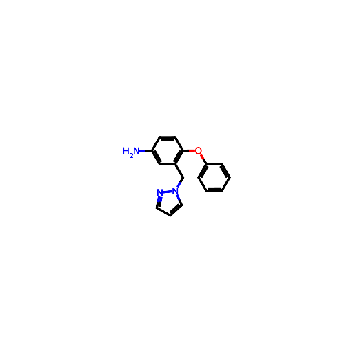 Nc1ccc(Oc2ccccc2)c(Cn2cccn2)c1